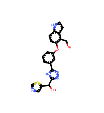 OCc1c(Oc2cccc(-c3nnc(C(O)c4cncs4)[nH]3)c2)ccc2[nH]ccc12